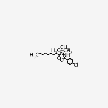 CCCCCCCCC(=O)N(NC(=O)c1ccc(Cl)cc1)C(C)(C)C